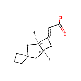 O=C(O)C=C1C[C@H]2CC3(CCC3)C[C@@H]12